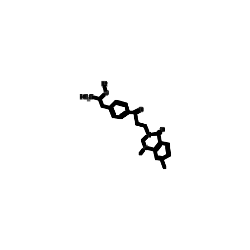 CCOC(Cc1ccc(C(=O)CCN2CN(C)c3cc(C)ccc3C2=O)cc1)C(=O)O